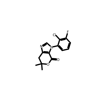 CC1(C)Cc2ncn(-c3cccc(F)c3Cl)c2C(=O)O1